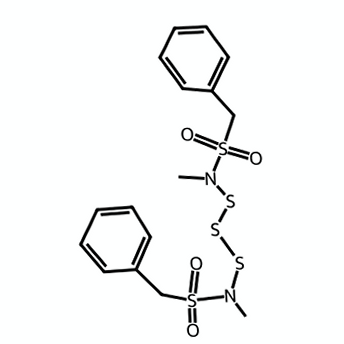 CN(SSSN(C)S(=O)(=O)Cc1ccccc1)S(=O)(=O)Cc1ccccc1